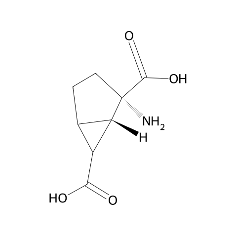 N[C@@]1(C(=O)O)CCC2C(C(=O)O)[C@H]21